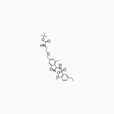 CCc1ccc(OC)c(S(=O)(=O)Nc2noc3cc(COCCNC(=O)OC(C)(C)C)cc(C)c23)c1